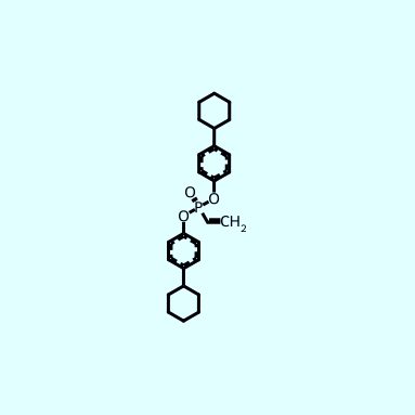 C=CP(=O)(Oc1ccc(C2CCCCC2)cc1)Oc1ccc(C2CCCCC2)cc1